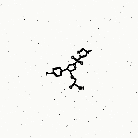 Cn1cnc(S(=O)(=O)N2CC(OCC(=O)O)C(c3ccc(F)cc3)C2)c1